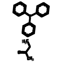 CCC(C)=O.c1ccc(P(c2ccccc2)c2ccccc2)cc1